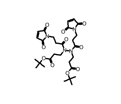 CC(C)(C)OC(=O)CCN(C(=O)CCN1C(=O)C=CC1=O)N(CCC(=O)OC(C)(C)C)C(=O)CCN1C(=O)C=CC1=O